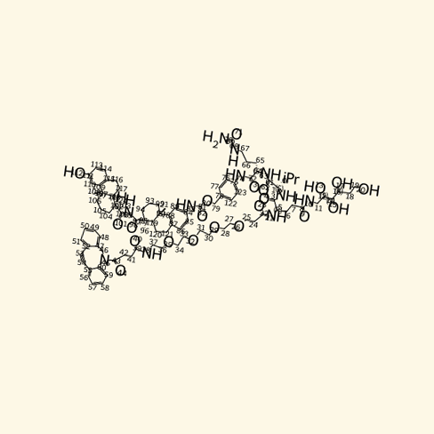 CC(C)[C@H](NC(=O)[C@@H](CCC(=O)NC[C@H](O)[C@@H](O)[C@H](O)CCO)NC(=O)CCOCCOCCOCCOCCNC(=O)CCC(=O)N1Cc2ccccc2C#Cc2ccccc21)C(=O)N[C@@H](CCCNC(N)=O)C(=O)Nc1ccc(COC(=O)Nc2ccc3c(c2)[C@@]2(C)CCC[C@](C)(C(=O)NC(=O)[C@@]4(C)CCC[C@]5(C)c6cc(O)ccc6CC[C@@H]45)C2CC3)cc1